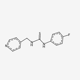 Fc1ccc(NC(=S)NCc2ccncc2)cc1